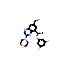 CC(Nc1cc(F)cc(F)c1)c1cc(CCl)cc2ncc(N3CCOCC3)nc12